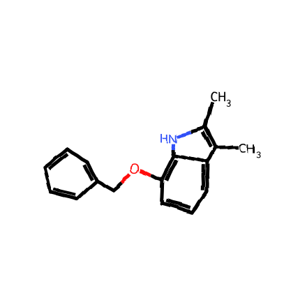 Cc1[nH]c2c(OCc3ccccc3)cccc2c1C